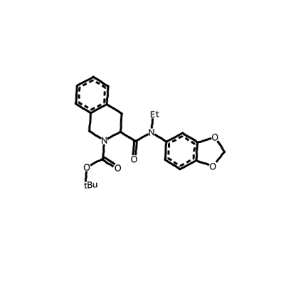 CCN(C(=O)C1Cc2ccccc2CN1C(=O)OC(C)(C)C)c1ccc2c(c1)OCO2